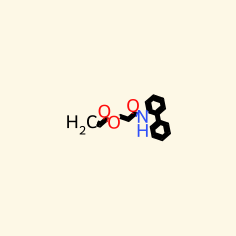 C=CC(=O)OCCC(=O)Nc1ccccc1-c1ccccc1